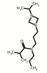 CCCN(CCCN1CN(C(C)C)C1)C(=O)C(C)C